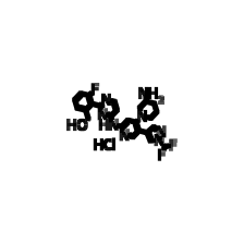 Cl.N[C@H]1CCCN(c2cc(Nc3ccnc(-c4c(F)cccc4CO)n3)ncc2-c2cnn(C(F)F)c2)C1